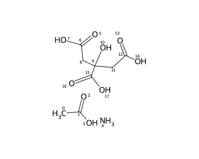 CC(=O)O.N.O=C(O)CC(O)(CC(=O)O)C(=O)O